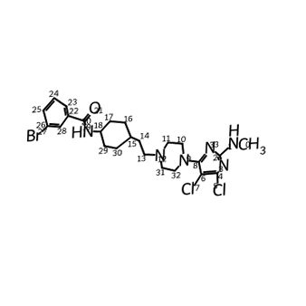 CNc1nc(Cl)c(Cl)c(N2CCN(CCC3CCC(NC(=O)c4cccc(Br)c4)CC3)CC2)n1